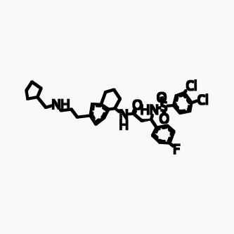 O=C(C[C@@H](NS(=O)(=O)c1ccc(Cl)c(Cl)c1)c1ccc(F)cc1)N[C@@H]1CCCc2cc(CCCNCC3CCCC3)ccc21